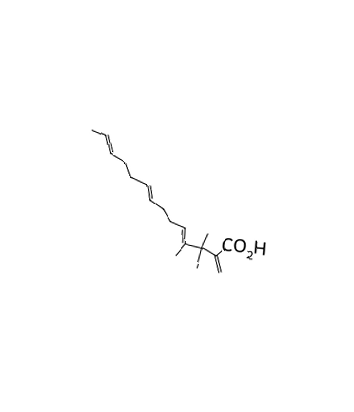 C=C(C(=O)O)C(C)(C)/C(C)=C/CC/C=C/CC/C=C/C